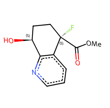 COC(=O)[C@]1(F)CC[C@H](O)c2ncccc21